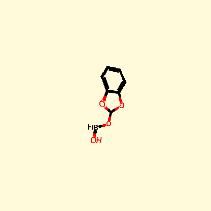 OBOC1Oc2ccccc2O1